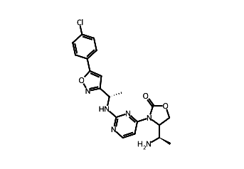 C[C@H](Nc1nccc(N2C(=O)OCC2[C@@H](C)N)n1)c1cc(-c2ccc(Cl)cc2)on1